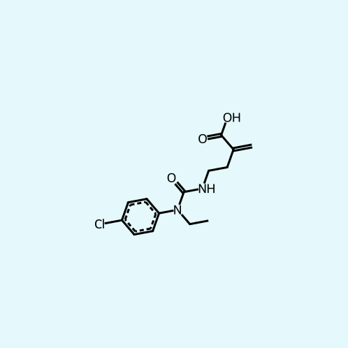 C=C(CCNC(=O)N(CC)c1ccc(Cl)cc1)C(=O)O